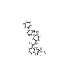 Cc1cccc(C(=O)Nc2ccc(Cl)c(-c3ncc(-c4ccccc4)[nH]3)c2)c1OC(C)(F)F